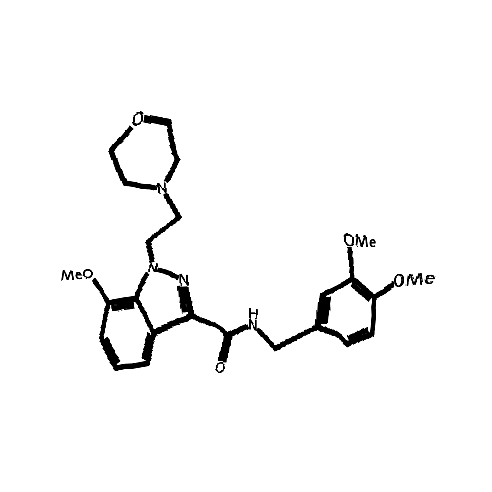 COc1ccc(CNC(=O)c2nn(CCN3CCOCC3)c3c(OC)cccc23)cc1OC